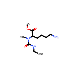 CSN(C(=O)NCC=O)C(CCCCN)C(=O)OC(C)(C)C